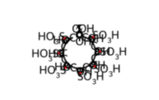 C=S(=O)(O)c1cc2c(O)c(c1)Cc1cc(S(=O)(=O)O)cc(c1O)Cc1cc(S(=O)(=O)O)cc(c1O)Cc1cc(S(=O)(=O)O)cc(c1O)Cc1cc(S(=O)(=O)O)cc(c1O)Cc1cc(S(=O)(=O)O)cc(c1O)Cc1cc(S(=O)(=O)O)cc(c1O)Cc1cc(S(=O)(=O)O)cc(c1O)C2